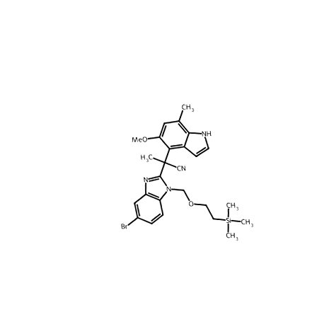 COc1cc(C)c2[nH]ccc2c1C(C)(C#N)c1nc2cc(Br)ccc2n1COCC[Si](C)(C)C